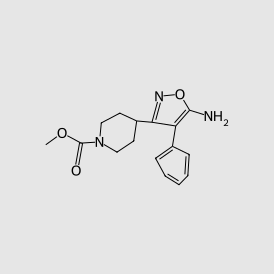 COC(=O)N1CCC(c2noc(N)c2-c2ccccc2)CC1